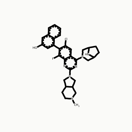 CN1CCC2CN(c3nc(N4CC5CCC(C4)N5)c4cc(Cl)c(-c5cc(O)cc6ccccc56)c(F)c4n3)CC2C1